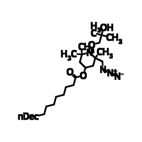 CCCCCCCCCCCCCCCCCC(=O)OC1CC(C)(C)N(OCC(C)(C)O)C(C)(CN=[N+]=[N-])C1